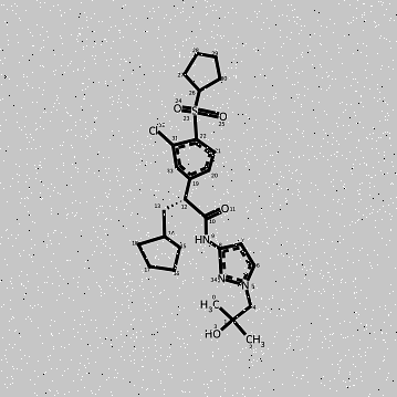 CC(C)(O)Cn1ccc(NC(=O)[C@H](CC2CCCC2)c2ccc(S(=O)(=O)C3CCCC3)c(Cl)c2)n1